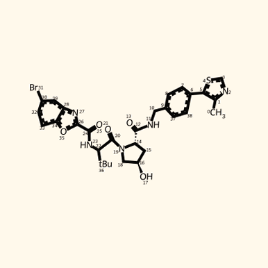 Cc1ncsc1-c1ccc(CNC(=O)[C@@H]2C[C@@H](O)CN2C(=O)C(NC(=O)c2nc3cc(Br)ccc3o2)C(C)(C)C)cc1